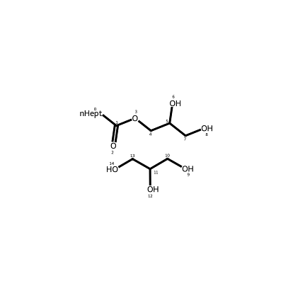 CCCCCCCC(=O)OCC(O)CO.OCC(O)CO